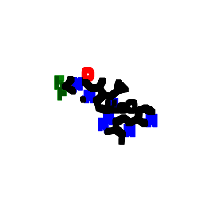 COc1ccncc1-c1cc2c(cnn2-c2cc3c(c(C4CC4)n2)c(C)c(C(=O)N2CC(F)(F)C2)n3C)c(C)n1